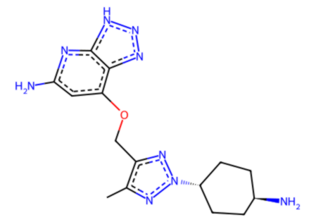 Cc1nn([C@H]2CC[C@H](N)CC2)nc1COc1cc(N)nc2[nH]nnc12